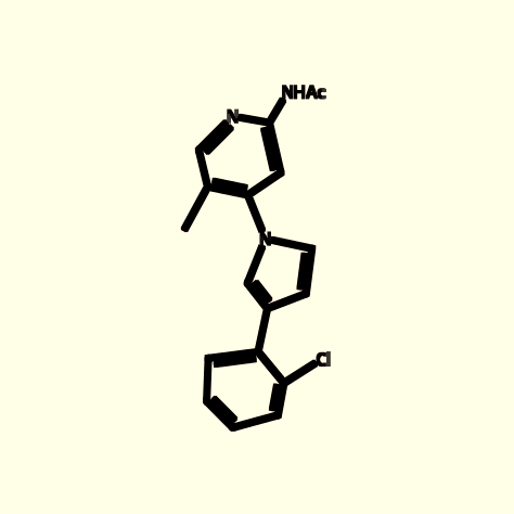 CC(=O)Nc1cc(-n2ccc(-c3ccccc3Cl)c2)c(C)cn1